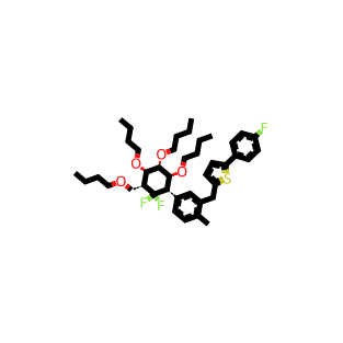 CCCCOC[C@@H]1[C@@H](OCCCC)[C@H](OCCCC)[C@@H](OCCCC)[C@H](c2ccc(C)c(Cc3ccc(-c4ccc(F)cc4)s3)c2)C1(F)F